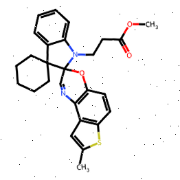 COC(=O)CCN1c2ccccc2C2(CCCCC2)C12C=Nc1c(ccc3sc(C)cc13)O2